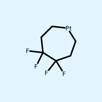 FC1(F)C[CH2][Pt][CH2]CC1(F)F